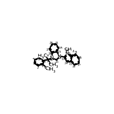 Cc1ccccc1C(C)(C)N1CN(c2cc3ccccc3n2C)c2ccccc21